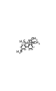 Bc1ccc(/C(C)=C(/SC(=C)NC)c2ccccc2)cc1